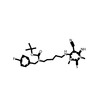 Cn1c(NCCCCCN(Cc2ccc(F)cc2)C(=O)OC(C)(C)C)c(C#N)c(=N)n(C)c1=S